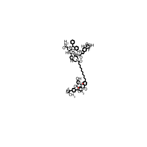 Cc1ncsc1-c1ccc([C@H](C)NC(=O)[C@@H]2C[C@@H](O)CN2C(=O)[C@@H]2CCCCN2C(=O)c2ccc(CCCCCCCCCCC(=O)N3CC[C@H]4CC[C@@H](C(=O)N[C@@H](CCC(N)=O)C(=O)NC(c5ccccc5)c5ccccc5)N4C(=O)[C@@H](NC(=O)c4cc5cc(C(F)(F)P(=O)(O)O)ccc5[nH]4)C3)cc2)cc1